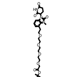 Cn1c(=O)n(C2CCC(=O)NC2=O)c2cccc(CCOCCOCCOCCOCC(=O)OC(C)(C)C)c21